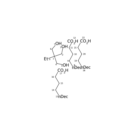 CCC(CO)(CO)CO.CCCCCCCCCCCCCC(=O)O.CCCCCCCCCCCCCC(=O)O.CCCCCCCCCCCCCC(=O)O